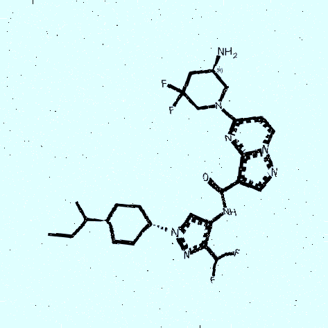 CCC(C)[C@H]1CC[C@H](n2cc(NC(=O)c3cnn4ccc(N5C[C@H](N)CC(F)(F)C5)nc34)c(C(F)F)n2)CC1